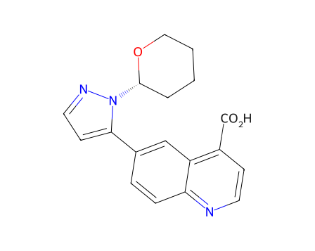 O=C(O)c1ccnc2ccc(-c3ccnn3[C@H]3CCCCO3)cc12